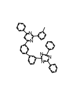 Cc1cccc(-c2nc(-c3ccccc3)cc(-c3cccc(-c4cccc(-c5nc(-c6ccccc6)nc(-c6ccccc6)n5)c4)c3)n2)c1